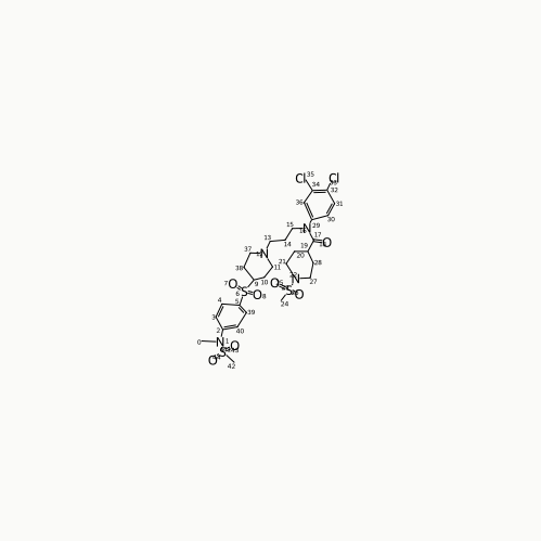 CN(c1ccc(S(=O)(=O)C2CCN(CCCN(C(=O)C3CCN(S(C)(=O)=O)CC3)c3ccc(Cl)c(Cl)c3)CC2)cc1)S(C)(=O)=O